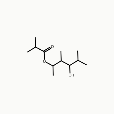 CC(C)C(=O)OC(C)C(C)C(O)C(C)C